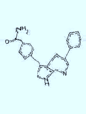 NC(=O)c1ccc(-c2c[nH]c3ncc(-c4ccccc4)cc23)cc1